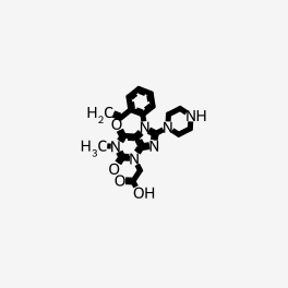 C=Cc1ccccc1-n1c(N2CCNCC2)nc2c1c(=O)n(C)c(=O)n2CC(=O)O